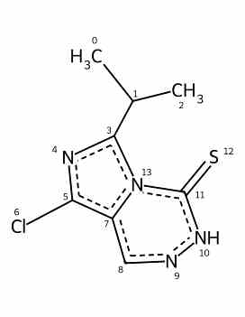 CC(C)c1nc(Cl)c2cn[nH]c(=S)n12